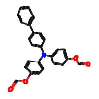 O=COc1ccc(N(c2ccc(OC=O)cc2)c2ccc(-c3ccccc3)cc2)cc1